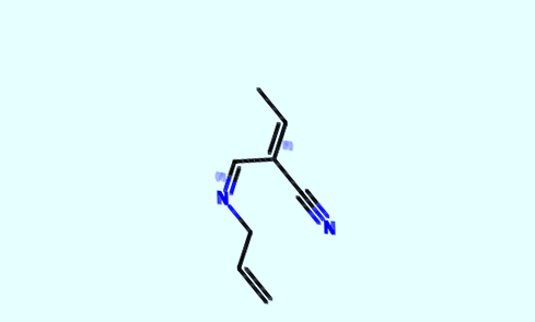 C=CC/N=C\C(C#N)=C/C